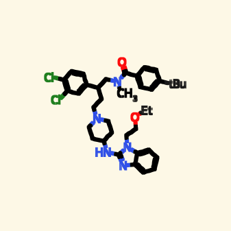 CCOCCn1c(NC2CCN(CCC(CN(C)C(=O)c3ccc(C(C)(C)C)cc3)c3ccc(Cl)c(Cl)c3)CC2)nc2ccccc21